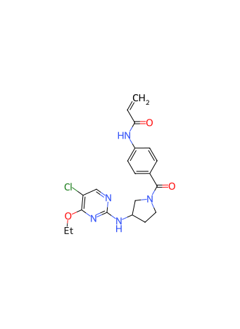 C=CC(=O)Nc1ccc(C(=O)N2CCC(Nc3ncc(Cl)c(OCC)n3)C2)cc1